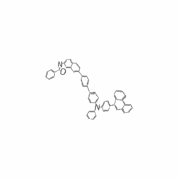 c1ccc(-c2nc3ccc4ccc(-c5ccc(-c6ccc(N(c7ccccc7)c7ccc(-c8cc9ccccc9c9ccccc89)cc7)cc6)cc5)cc4c3o2)cc1